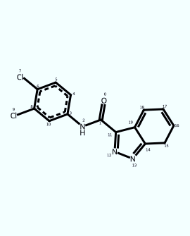 O=C(Nc1ccc(Cl)c(Cl)c1)C1=NN=C2CC=CC=C21